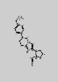 CCc1ccc(C2CCc3nc(C4CCCN4C=O)cn3C2)cc1